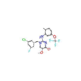 COc1cn(C[C@@H]2C=C(Cl)C=C(F)C2)c(Nc2cc(OC(F)(F)F)ccc2C)nc1=O